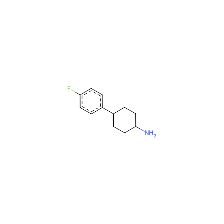 NC1CCC(c2ccc(F)cc2)CC1